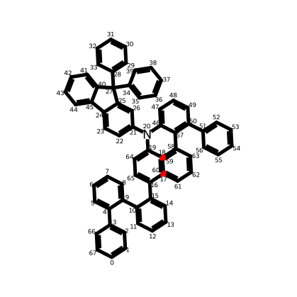 c1ccc(-c2ccccc2-c2ccccc2-c2ccc(N(c3ccc4c(c3)C(c3ccccc3)(c3ccccc3)c3ccccc3-4)c3cccc(-c4ccccc4)c3-c3ccccc3)cc2)cc1